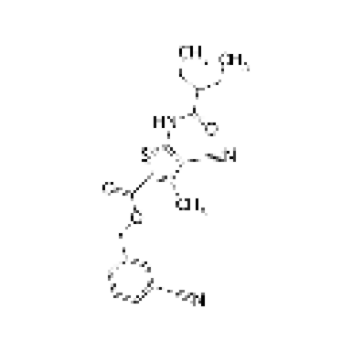 CCC(CC)C(=O)Nc1sc(C(=O)OCc2cccc(C#N)c2)c(C)c1C#N